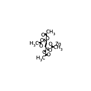 CC(=O)ON(CCN(OC(C)=O)OC(C)=O)OC(C)=O.[Zn]